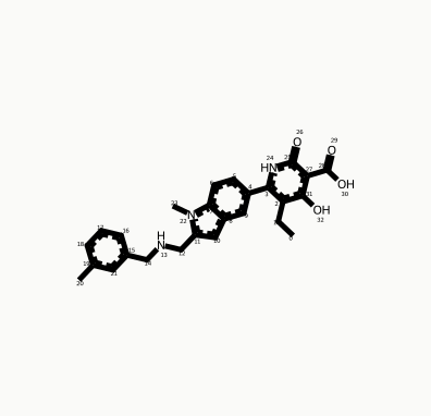 CCc1c(-c2ccc3c(c2)cc(CNCc2cccc(C)c2)n3C)[nH]c(=O)c(C(=O)O)c1O